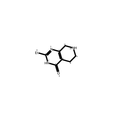 CCc1nc2c(c(=O)[nH]1)CCNC2